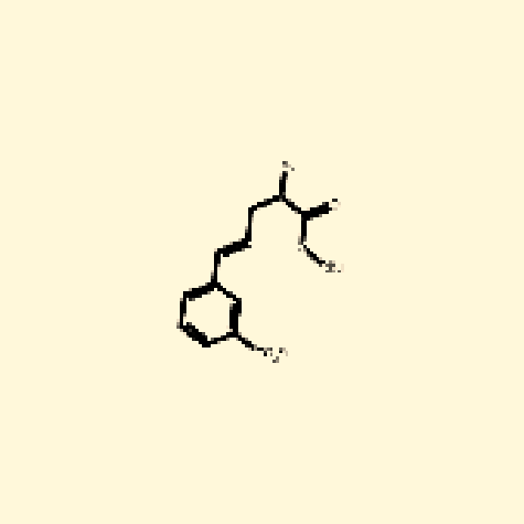 CCOC(=O)c1cccc(C=CCC(C(C)=O)C(=O)OC(C)(C)C)c1